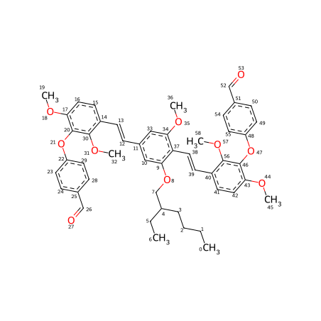 CCCCC(CC)COc1cc(C=Cc2ccc(OC)c(Oc3ccc(C=O)cc3)c2OC)cc(OC)c1C=Cc1ccc(OC)c(Oc2ccc(C=O)cc2)c1OC